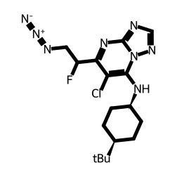 CC(C)(C)[C@H]1CC[C@@H](Nc2c(Cl)c(C(F)CN=[N+]=[N-])nc3ncnn23)CC1